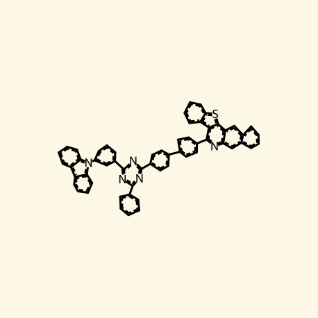 c1ccc(-c2nc(-c3ccc(-c4ccc(-c5nc6cc7ccccc7cc6c6sc7ccccc7c56)cc4)cc3)nc(-c3cccc(-n4c5ccccc5c5ccccc54)c3)n2)cc1